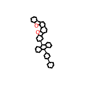 c1ccc(-c2ccc(-c3c4ccccc4c(-c4ccc5oc6c(ccc7ccc8c9ccccc9oc8c76)c5c4)c4ccccc34)cc2)cc1